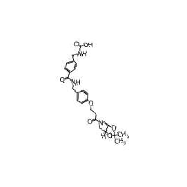 CC1(C)OC2=CN(C(=O)CCOc3ccc(CNC(=O)c4ccc(CNC(=O)O)cc4)cc3)C[C@H]2O1